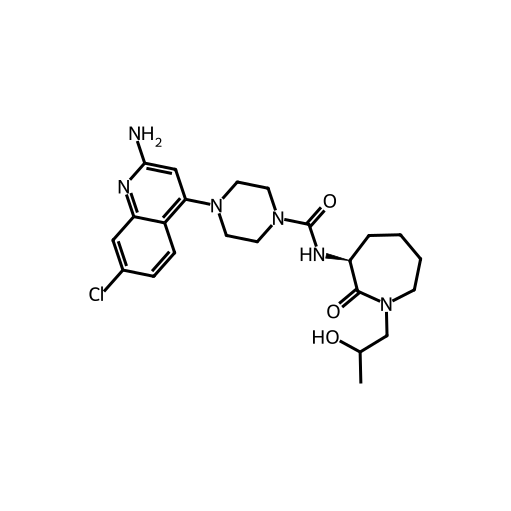 CC(O)CN1CCCC[C@H](NC(=O)N2CCN(c3cc(N)nc4cc(Cl)ccc34)CC2)C1=O